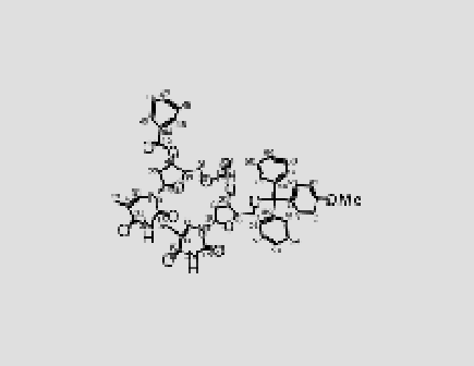 COc1ccc(C(OC[C@H]2O[C@@H](n3cc(C)c(=O)[nH]c3=O)C[C@@H]2O[PH](=O)OC[C@H]2O[C@@H](n3cc(C)c(=O)[nH]c3=O)C[C@@H]2OC(=O)c2ccccc2)(c2ccccc2)c2ccccc2)cc1